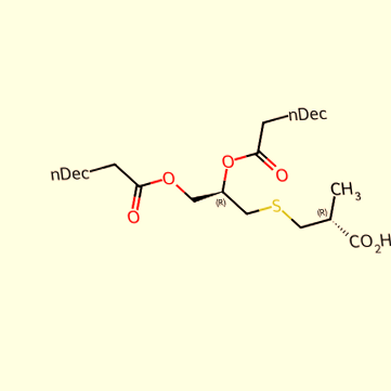 CCCCCCCCCCCC(=O)OC[C@H](CSC[C@H](C)C(=O)O)OC(=O)CCCCCCCCCCC